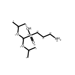 CC(C)OC(OC(C)C)P(=O)(O)CCCN